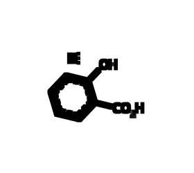 O=C(O)c1ccccc1O.[Bi]